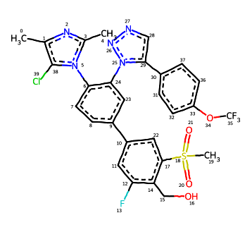 Cc1nc(C)n(-c2ccc(-c3cc(F)c(CO)c(S(C)(=O)=O)c3)cc2-n2nncc2-c2ccc(OC(F)(F)F)cc2)c1Cl